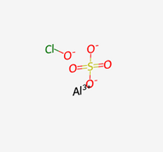 O=S(=O)([O-])[O-].[Al+3].[O-]Cl